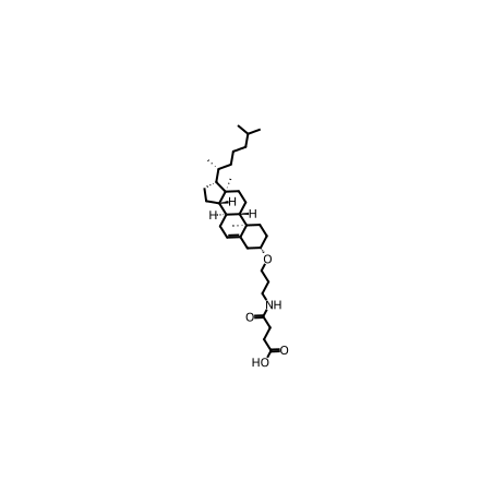 CC(C)CCC[C@@H](C)[C@H]1CC[C@H]2[C@@H]3CC=C4C[C@@H](OCCCNC(=O)CCC(=O)O)CC[C@]4(C)[C@H]3CC[C@]12C